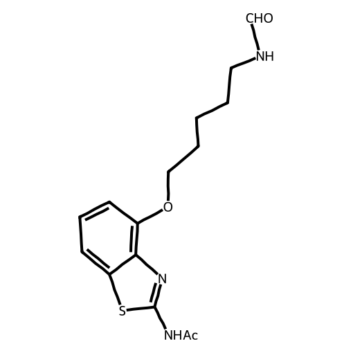 CC(=O)Nc1nc2c(OCCCCCNC=O)cccc2s1